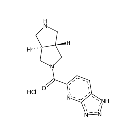 Cl.O=C(c1ccc2[nH]nnc2n1)N1C[C@H]2CNC[C@@H]2C1